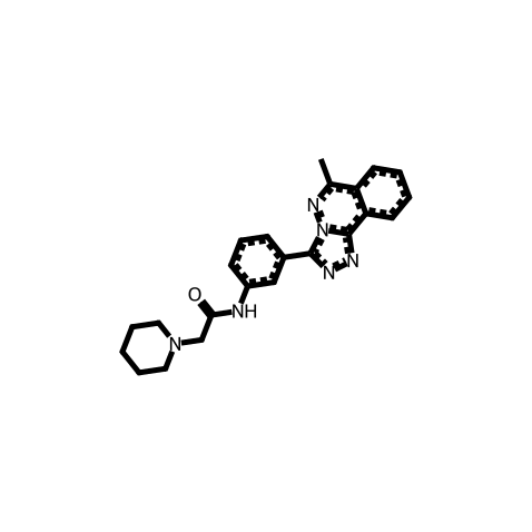 Cc1nn2c(-c3cccc(NC(=O)CN4CCCCC4)c3)nnc2c2ccccc12